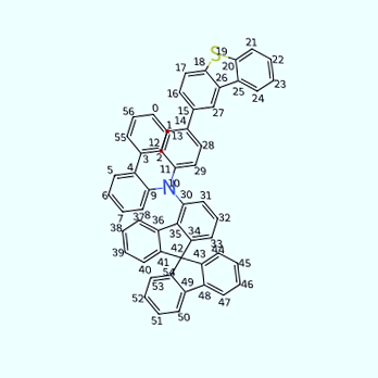 c1ccc(-c2ccccc2N(c2ccc(-c3ccc4sc5ccccc5c4c3)cc2)c2cccc3c2-c2ccccc2C32c3ccccc3-c3ccccc32)cc1